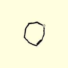 C1=CCOCCCCC1